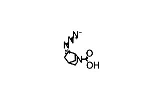 [N-]=[N+]=N[C@H]1CC2CC1N(C(=O)O)C2